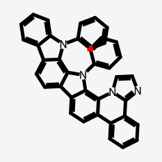 c1ccc(-n2c3ccccc3c3ccc4c5ccc6c7ccccc7c7nccn7c6c5n(-c5ccccc5)c4c32)cc1